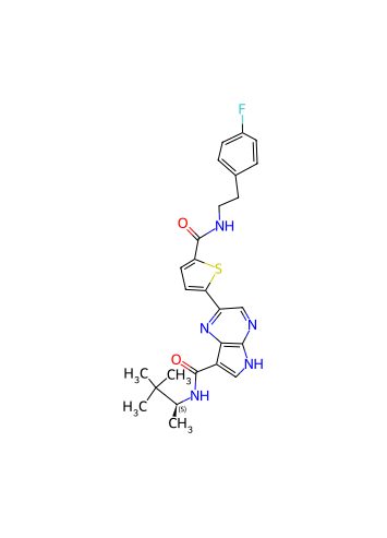 C[C@H](NC(=O)c1c[nH]c2ncc(-c3ccc(C(=O)NCCc4ccc(F)cc4)s3)nc12)C(C)(C)C